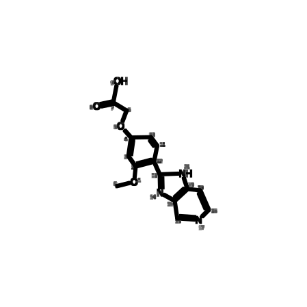 COc1cc(OCC(=O)O)ccc1-c1nc2cnccc2[nH]1